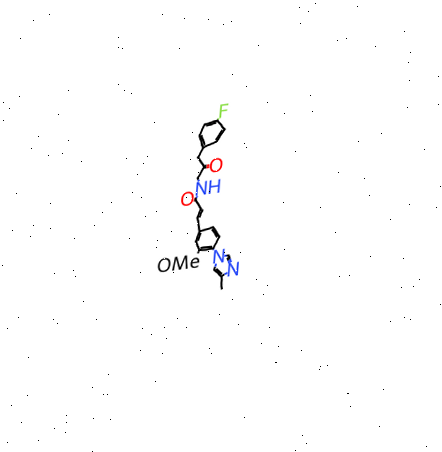 COc1cc(C=CC(=O)NCC(=O)Cc2ccc(F)cc2)ccc1-n1cnc(C)c1